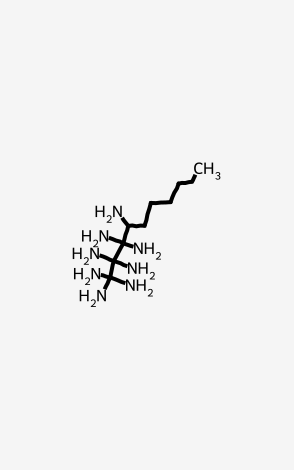 CCCCCCC(N)C(N)(N)C(N)(N)C(N)(N)N